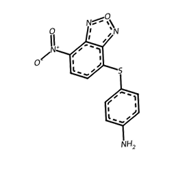 Nc1ccc(Sc2ccc([N+](=O)[O-])c3nonc23)cc1